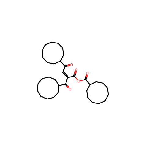 O=C(OC(=O)C1CCCCCCCCC1)C(=CC(=O)C1CCCCCCCCC1)C(=O)C1CCCCCCCCC1